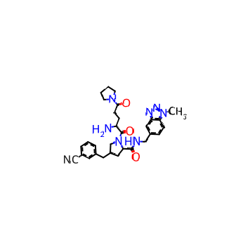 Cn1nnc2cc(CNC(=O)C3CC(Cc4cccc(C#N)c4)CN3C(=O)C(N)CCC(=O)N3CCCC3)ccc21